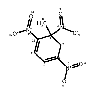 CC1([N+](=O)[O-])CC([N+](=O)[O-])=CC=C1[N+](=O)[O-]